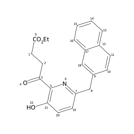 CCOC(=O)CCC(=O)c1nc(Cc2ccc3ccccc3c2)ccc1O